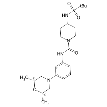 C[C@@H]1CN(c2cccc(NC(=O)N3CCC(NS(=O)(=O)C(C)(C)C)CC3)c2)C[C@H](C)O1